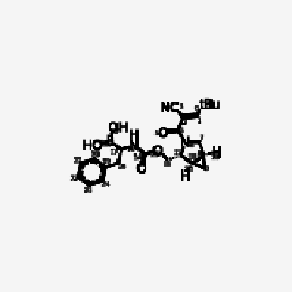 CC(C)(C)C=C(C#N)C(=O)N1C[C@H]2C[C@H]2[C@@H]1COC(=O)N[C@@H](Cc1ccccc1)B(O)O